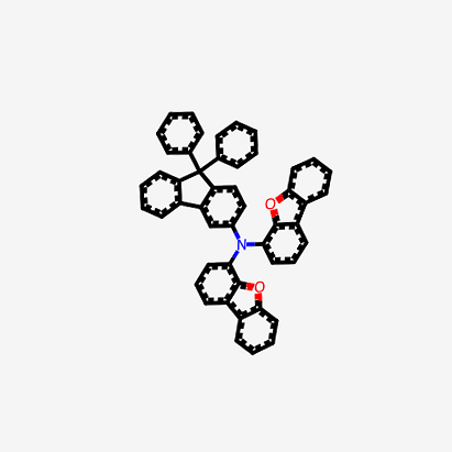 c1ccc(C2(c3ccccc3)c3ccccc3-c3cc(N(c4cccc5c4oc4ccccc45)c4cccc5c4oc4ccccc45)ccc32)cc1